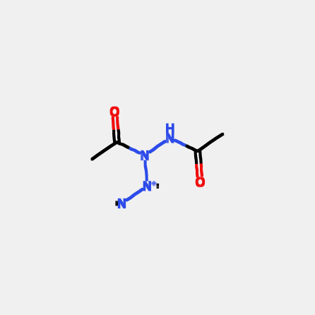 CC(=O)NN([N+][N])C(C)=O